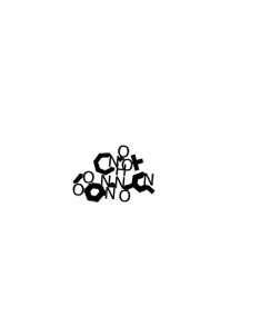 Cc1cc(C(=O)Nc2nc3ccc4c(c3n2[C@@H]2CCCCN(C(=O)OC(C)(C)C)C2)OCCO4)ccn1